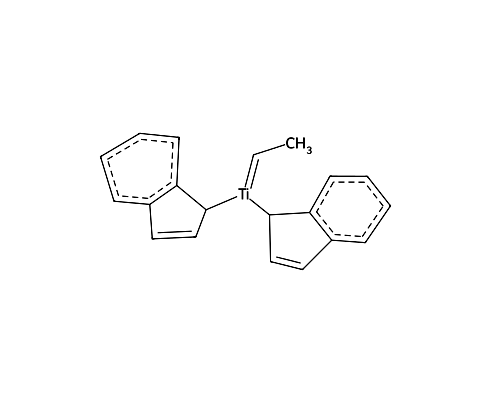 C[CH]=[Ti]([CH]1C=Cc2ccccc21)[CH]1C=Cc2ccccc21